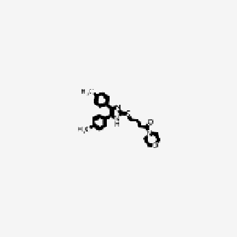 Cc1ccc(-c2nc(SCCCC(=O)N3CCOCC3)[nH]c2-c2ccc(C)cc2)cc1